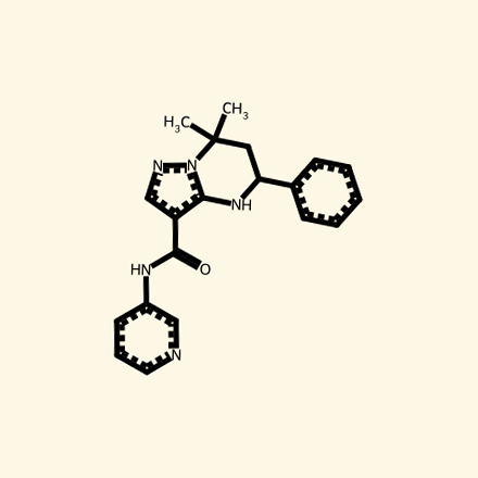 CC1(C)CC(c2ccccc2)Nc2c(C(=O)Nc3cccnc3)cnn21